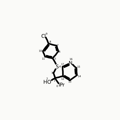 CC(C)C(O)(CSc1ccc(Cl)cc1)c1cccnc1